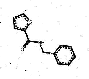 O=C(NCc1ccccc1)c1cccs1